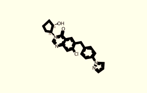 O=c1c2cc(Cc3ccc(-n4cccn4)cc3)c(Cl)cc2ncn1[C@H]1CCC[C@@H]1O